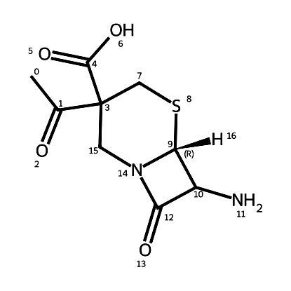 CC(=O)C1(C(=O)O)CS[C@@H]2C(N)C(=O)N2C1